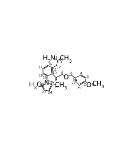 COc1ccc(COCCc2c(CC(C)N)cccc2-n2c(C)ccc2C)cc1